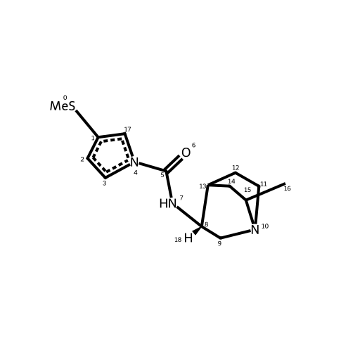 CSc1ccn(C(=O)N[C@H]2CN3CCC2CC3C)c1